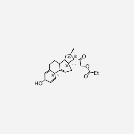 CCC(=O)OCC(=O)[C@H]1[C@H](C)CC2C3CCC4=CC(O)C=C[C@]4(C)C3=CC[C@@]21C